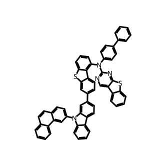 c1ccc(-c2ccc(N(c3ncc4c(n3)sc3ccccc34)c3cccc4sc5cc(-c6ccc7c8ccccc8n(-c8ccc9ccc%10ccccc%10c9c8)c7c6)ccc5c34)cc2)cc1